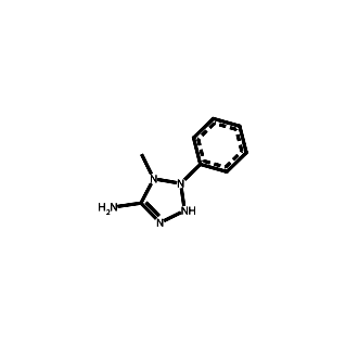 CN1C(N)=NNN1c1ccccc1